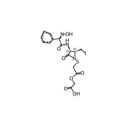 O=C(O)COC(=O)CSN1C(=O)[C@@H](NC(=O)C(=NO)c2ccccc2)[C@H]1CI